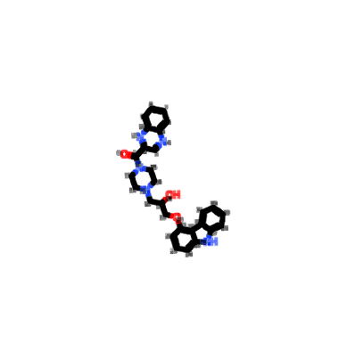 O=C(c1cnc2ccccc2n1)N1CCN(CC(O)COc2cccc3[nH]c4ccccc4c23)CC1